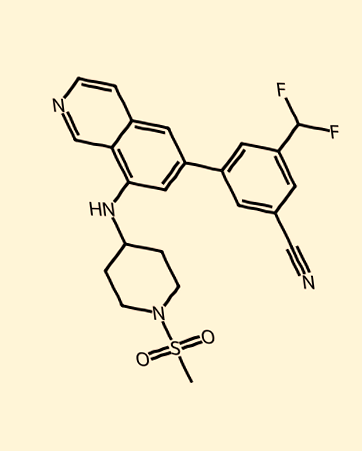 CS(=O)(=O)N1CCC(Nc2cc(-c3cc(C#N)cc(C(F)F)c3)cc3ccncc23)CC1